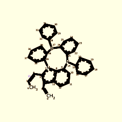 C=Cc1c(/C=C\C)n2c3c(cccc13)N(c1ccccc1)c1ccccc1B(c1ccccc1)c1ccccc1-2